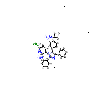 Cl.NC1(c2ccc(-c3c(-c4ccccc4)nc4n3-c3cccnc3Nc3ccccc3-4)cc2)CCC1